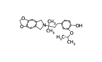 CC(C)Oc1cc(CCC(C)(C)N2Cc3cc4c(cc3C2)OCO4)ccc1O